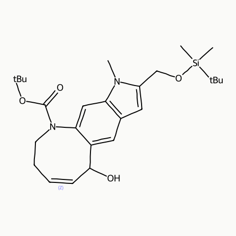 Cn1c(CO[Si](C)(C)C(C)(C)C)cc2cc3c(cc21)N(C(=O)OC(C)(C)C)CC/C=C\C3O